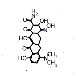 CN(C)c1ccc(O)c2c1CC1CC3/C(=N/O)C(O)=C(C(N)=O)C(=O)C3C(O)=C1C2=O